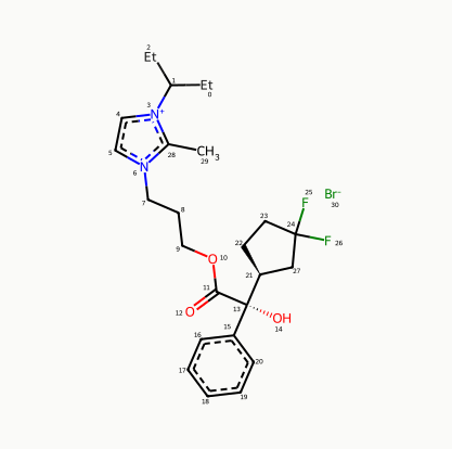 CCC(CC)[n+]1ccn(CCCOC(=O)[C@](O)(c2ccccc2)[C@H]2CCC(F)(F)C2)c1C.[Br-]